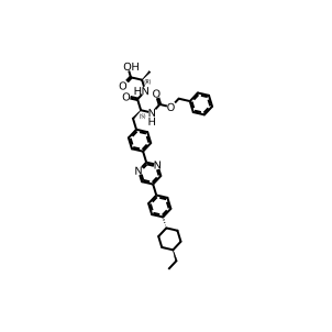 CC[C@H]1CC[C@H](c2ccc(-c3cnc(-c4ccc(C[C@H](NC(=O)OCc5ccccc5)C(=O)N[C@H](C)C(=O)O)cc4)nc3)cc2)CC1